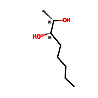 CCCCC[C@H](O)[C@H](C)O